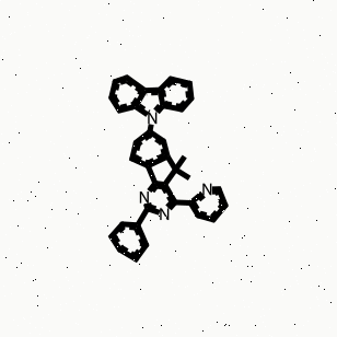 CC1(C)c2cc(-n3c4ccccc4c4ccccc43)ccc2-c2nc(-c3ccccc3)nc(-c3ccccn3)c21